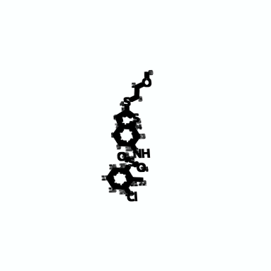 COCCSc1cc2ccc(NS(=O)(=O)c3cccc(Cl)c3C)cc2s1